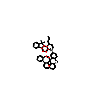 C=C/C=C(\C=C/N(c1ccc2c(c1)C(C)(C)c1ccccc1-2)c1ccc2c(c1)C1(c3ccccc3O2)c2ccccc2-c2ccccc2-c2ccccc21)c1ccccc1